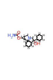 NC(=O)OC1C2CN(CC(O)(c3ccccc3)c3ccccc3)CC21